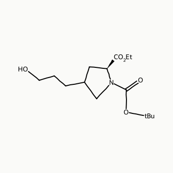 CCOC(=O)[C@@H]1CC(CCCO)CN1C(=O)OC(C)(C)C